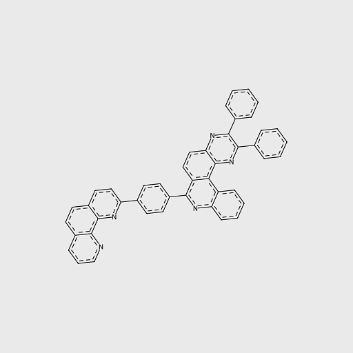 c1ccc(-c2nc3ccc4c(-c5ccc(-c6ccc7ccc8cccnc8c7n6)cc5)nc5ccccc5c4c3nc2-c2ccccc2)cc1